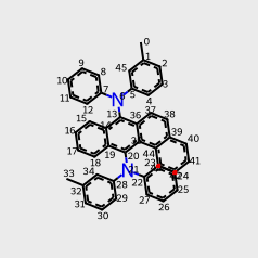 Cc1cccc(N(c2ccccc2)c2c3ccccc3c(N(c3ccccc3)c3cccc(C)c3)c3c2ccc2ccccc23)c1